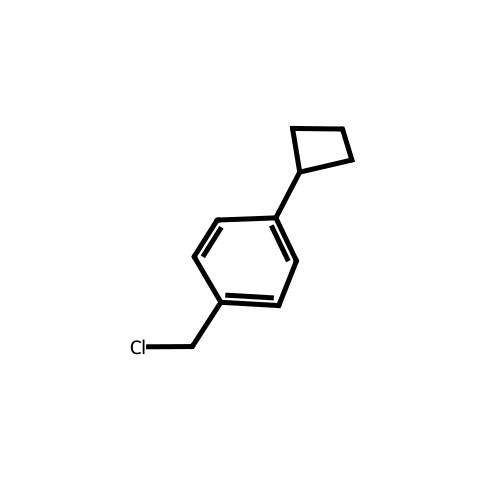 ClCc1ccc(C2CCC2)cc1